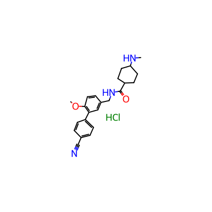 CNC1CCC(C(=O)NCc2ccc(OC)c(-c3ccc(C#N)cc3)c2)CC1.Cl